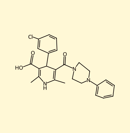 CC1=C(C(=O)O)C(c2cccc(Cl)c2)C(C(=O)N2CCN(c3ccccc3)CC2)=C(C)N1